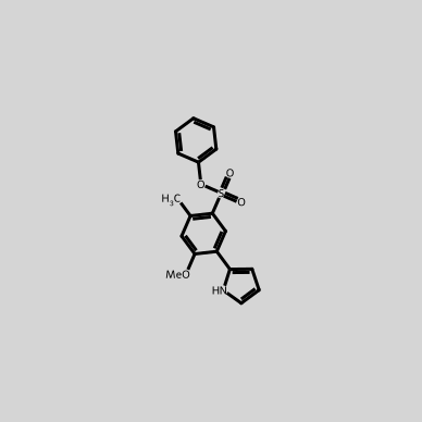 COc1cc(C)c(S(=O)(=O)Oc2ccccc2)cc1-c1ccc[nH]1